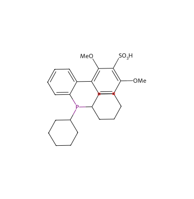 COc1ccc(-c2ccccc2P(C2CCCCC2)C2CCCCC2)c(OC)c1S(=O)(=O)O